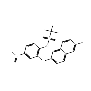 O=[N+]([O-])c1ccc(NS(=O)(=O)C(F)(F)F)c(Oc2ccc3cc(F)ccc3c2)c1